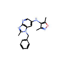 Cc1noc(C)c1Nc1cnc2nc(C)n(Cc3ccccc3)c2c1